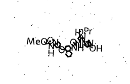 CCCC(I)c1cc(NC(=O)Nc2ccc(Oc3ccnc(NC(=O)COC)c3)c3ccccc23)n(-c2ccc(O)nc2)n1